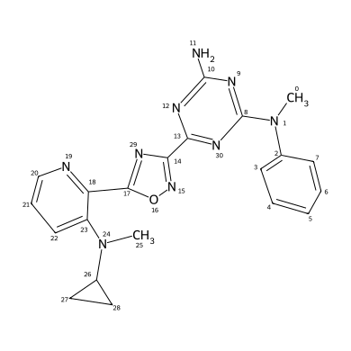 CN(c1ccccc1)c1nc(N)nc(-c2noc(-c3ncccc3N(C)C3CC3)n2)n1